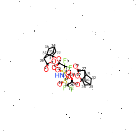 O=C1OC2(OC(=O)C(F)(F)S(=O)(=O)NS(=O)(=O)C(F)(F)C(=O)OC34CC5CC(C(=O)O3)C4C5)CC3CC1C2C3